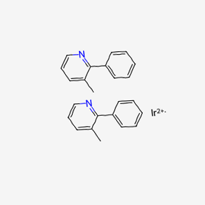 Cc1cccnc1-c1ccccc1.Cc1cccnc1-c1ccccc1.[Ir+2]